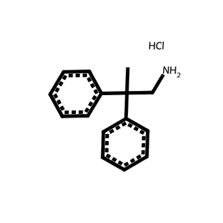 CC(CN)(c1ccccc1)c1ccccc1.Cl